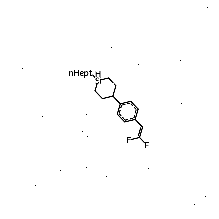 CCCCCCC[SiH]1CCC(c2ccc(C=C(F)F)cc2)CC1